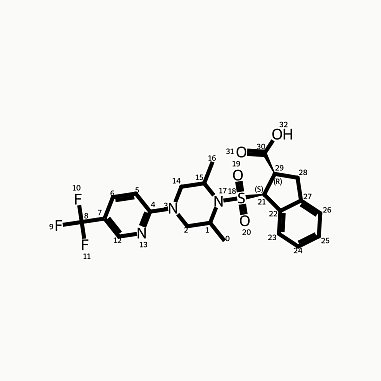 CC1CN(c2ccc(C(F)(F)F)cn2)CC(C)N1S(=O)(=O)[C@@H]1c2ccccc2C[C@@H]1C(=O)O